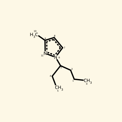 CCCC(CC)n1ccc(C)n1